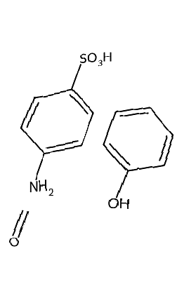 C=O.Nc1ccc(S(=O)(=O)O)cc1.Oc1ccccc1